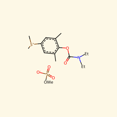 CCN(CC)C(=O)Oc1c(C)cc([S+](C)C)cc1C.COS(=O)(=O)[O-]